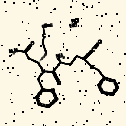 CCCCCCCCCCCCC[C@@H](CC(N)=O)N(Cc1ccccn1)C(=O)[C@@H](N)CCC(=C=O)OCc1ccccc1.Cl.Cl